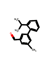 Cc1cc(C=O)cc(-c2ccccc2C(C)C)c1